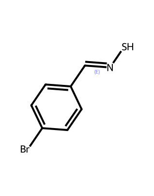 S/N=C/c1ccc(Br)cc1